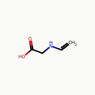 C=CNCC(=O)O